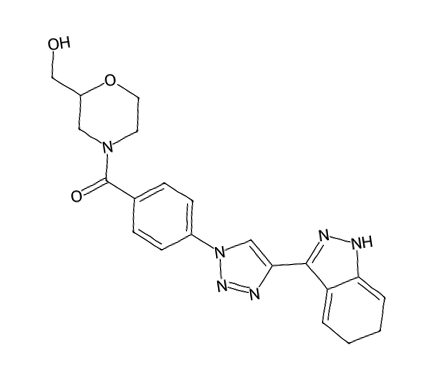 O=C(c1ccc(-n2cc(-c3n[nH]c4c3=CCCC=4)nn2)cc1)N1CCOC(CO)C1